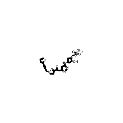 NS(=O)(=O)OC[C@H]1C[C@@H](Nc2cc(CC(=O)c3ccn(CC#Cc4ccco4)n3)ncn2)C[C@@H]1O